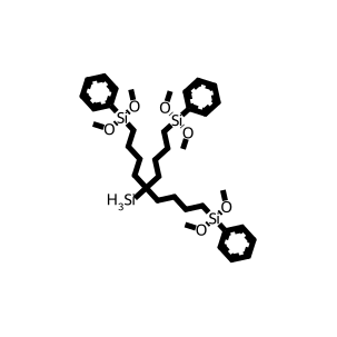 CO[Si](CCCCC([SiH3])(CCCC[Si](OC)(OC)c1ccccc1)CCCC[Si](OC)(OC)c1ccccc1)(OC)c1ccccc1